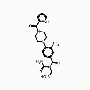 N=C(N)N(CS(=O)(=O)O)C(=O)c1ccc(N2CCN(C(=O)c3ccc[nH]3)CC2)c(C(F)(F)F)c1